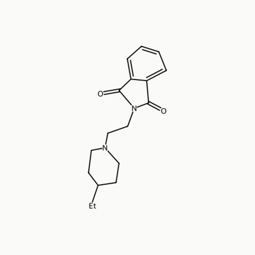 CCC1CCN(CCN2C(=O)c3ccccc3C2=O)CC1